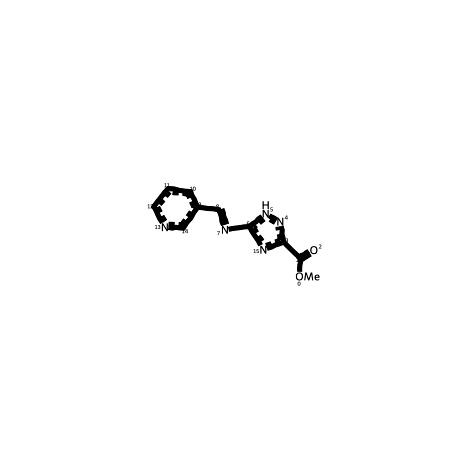 COC(=O)c1n[nH]c(/N=C/c2cccnc2)n1